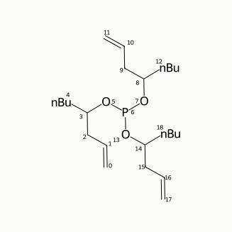 C=CCC(CCCC)OP(OC(CC=C)CCCC)OC(CC=C)CCCC